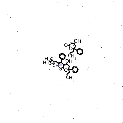 CCCC1(c2ccccc2)CC(O)=C(/C(=C/C[Si](C)(C)C)c2ccccc2)C(=O)O1.CCCC1(c2ccccc2)CC(O)=CC(=O)O1